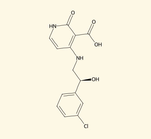 O=C(O)c1c(NC[C@@H](O)c2cccc(Cl)c2)cc[nH]c1=O